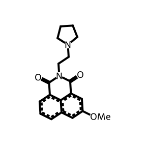 COc1cc2c3c(cccc3c1)C(=O)N(CCN1CCCC1)C2=O